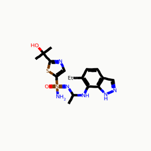 CCc1ccc2cn[nH]c2c1NC(C)N=S(N)(=O)c1cnc(C(C)(C)O)s1